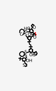 CC(C)(C)c1cc(CSC2CCCCCCC2SCc2cc(C(C)(C)CCC(C)(C)c3cc(CSC4CCCCCC[C@@H]4SCc4cc(C(C)(C)C)cc(-c5cccs5)c4O)c(O)c(-c4cccs4)c3)cc(-c3ccco3)c2O)c(O)c(-c2ccco2)c1